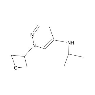 C=NN(/C=C(\C)NC(C)C)C1COC1